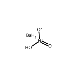 O=[N+]([O-])O.[BaH2]